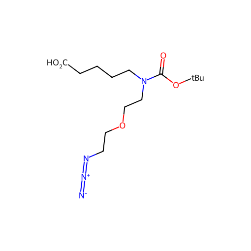 CC(C)(C)OC(=O)N(CCCCC(=O)O)CCOCCN=[N+]=[N-]